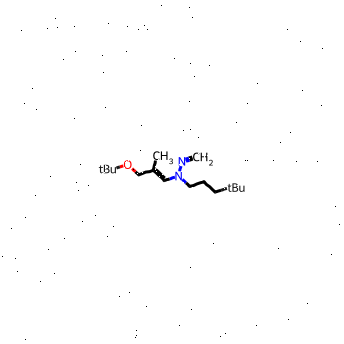 C=NN(/C=C(\C)COC(C)(C)C)CCCC(C)(C)C